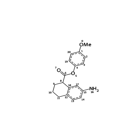 COc1ccc(OC(=O)C2CCCc3ccc(N)cc32)cc1